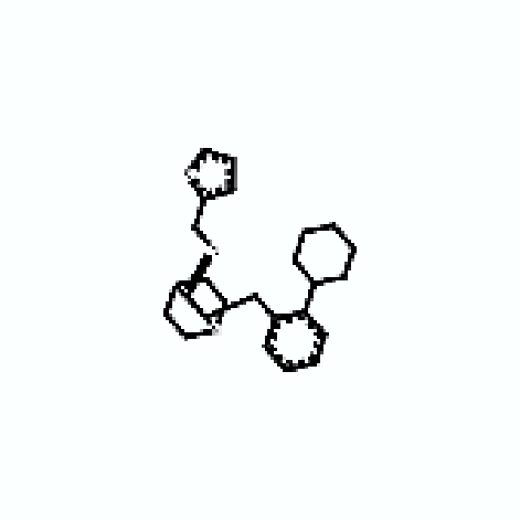 c1csc(CN=C2C3CCN(CC3)C2Cc2ccccc2C2CCCCC2)c1